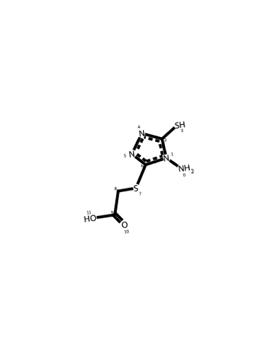 Nn1c(S)nnc1SCC(=O)O